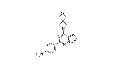 Nc1ccc(-c2nc(N3CC4(COC4)C3)c3cccn3n2)cc1